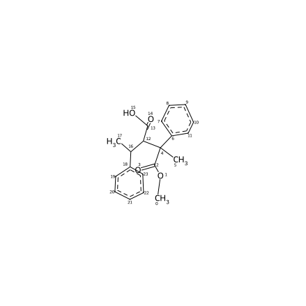 COC(=O)C(C)(c1ccccc1)C(C(=O)O)C(C)c1ccccc1